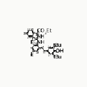 CCOC(=O)[C@H](NC(=O)Nc1c(F)cc(F)cc1CCc1cc(C(C)(C)C)c(O)c(C(C)(C)C)c1)c1ccccc1